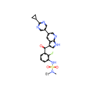 CCN(C)S(=O)(=O)Nc1cccc(C(=O)c2c[nH]c3ncc(-c4cnc(C5CC5)nc4)cc23)c1F